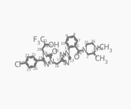 CC1CN(C(=O)c2ccccc2-n2cnc(Cn3nc(-c4ccc(Cl)cc4)n(C[C@H](O)C(F)(F)F)c3=O)n2)CCN1C